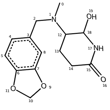 CN(Cc1ccc2c(c1)OCO2)C1CCC(=O)NC1O